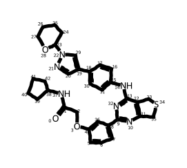 O=C(COc1cccc(-c2nc3c(c(Nc4ccc(-c5cnn(C6CCCCO6)c5)cc4)n2)CSC3)c1)NC1CCCC1